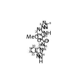 COc1cnc(-n2cnc(C)n2)c2[nH]cc(C(=O)C(=O)N3CCN(c4c[nH]nc4-c4ccccc4)CC3)c12